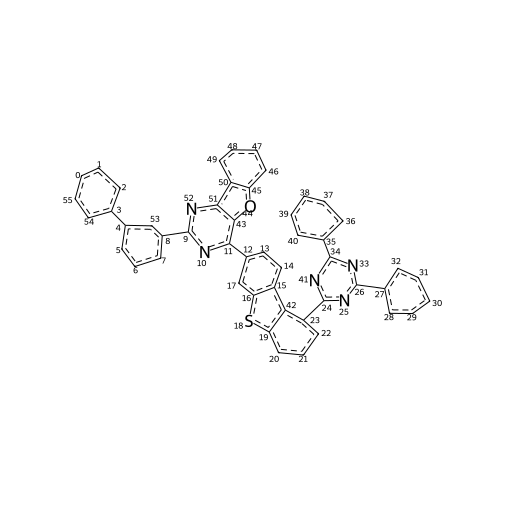 c1ccc(-c2cccc(-c3nc(-c4ccc5c(c4)sc4cccc(-c6nc(-c7ccccc7)nc(-c7ccccc7)n6)c45)c4oc5ccccc5c4n3)c2)cc1